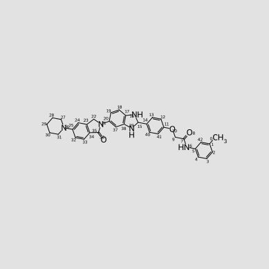 Cc1cccc(NC(=O)COc2ccc(C3Nc4ccc(N5Cc6cc(N7CCCCC7)ccc6C5=O)cc4N3)cc2)c1